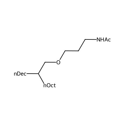 CCCCCCCCCCC(CCCCCCCC)COCCCNC(C)=O